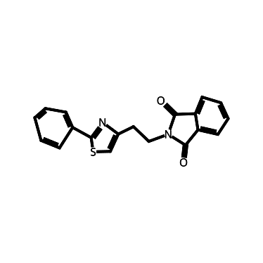 O=C1c2ccccc2C(=O)N1CCc1csc(-c2ccccc2)n1